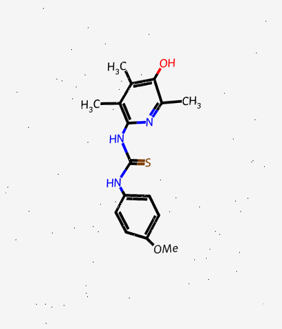 COc1ccc(NC(=S)Nc2nc(C)c(O)c(C)c2C)cc1